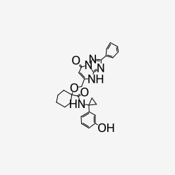 O=C(NC1(c2cccc(O)c2)CC1)C1(OCc2cc(=O)n3nc(-c4ccccc4)nc3[nH]2)CCCCC1